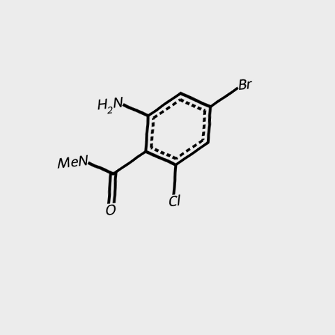 CNC(=O)c1c(N)cc(Br)cc1Cl